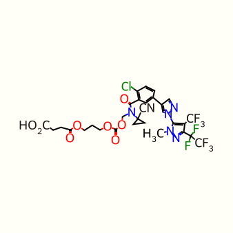 Cn1nc(C(F)(F)C(F)(F)F)c(C(F)(F)F)c1-n1cc(-c2ccc(Cl)c(C(=O)N(COC(=O)OCCCOC(=O)CCC(=O)O)C3(C#N)CC3)c2)cn1